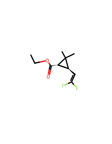 CCOC(=O)[C@H]1[C@H](C=C(F)F)C1(C)C